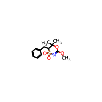 COC1=NS(=O)(=O)C(Cc2ccccc2)C(C)(C)O1